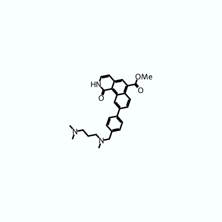 COC(=O)c1cc2cc[nH]c(=O)c2c2cc(-c3ccc(CN(C)CCCN(C)C)cc3)ccc12